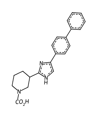 O=C(O)N1CCCC(c2nc(-c3ccc(-c4ccccc4)cc3)c[nH]2)C1